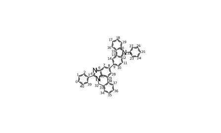 c1ccc(-c2nc3cc(-c4ccc5c(c4)c4ccccc4n5-c4ccccc4)cc4c3n2Cc2ccccc2-4)cc1